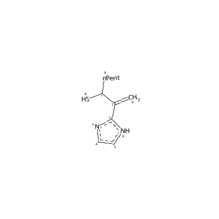 C=C(c1ncc[nH]1)C(S)CCCCC